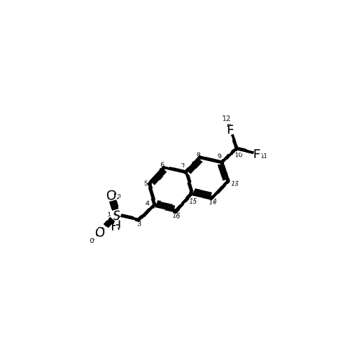 O=[SH](=O)Cc1ccc2cc([C](F)F)ccc2c1